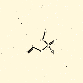 C=COP(=O)(Cl)OCl